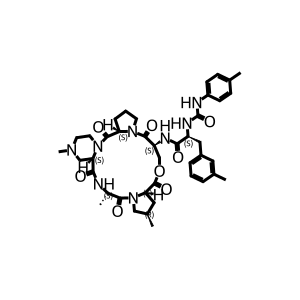 Cc1ccc(NC(=O)N[C@@H](Cc2cccc(C)c2)C(=O)N[C@H]2COC(=O)[C@@H]3C[C@@H](C)CN3C(=O)[C@H](C)NC(=O)[C@@H]3CN(C)CCN3C(=O)[C@@H]3CCCN3C2=O)cc1